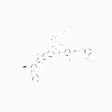 Cc1c(N=Nc2cc3c(O)c(N=Nc4cc(C=O)c(N=Nc5nc6ccc(Cl)c(S(=O)(=O)O)c6s5)cc4N(CCCS(=O)(=O)O)CCCS(=O)(=O)O)c(S(=O)(=O)O)cc3cc2S(=O)(=O)O)c(O)n2c(nc3ccccc32)c1C#N